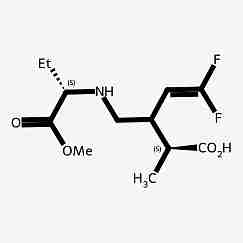 CC[C@H](NCC(C=C(F)F)[C@H](C)C(=O)O)C(=O)OC